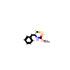 CC(C)(C)OC(=O)N[C@@H](CS)Cc1ccccc1